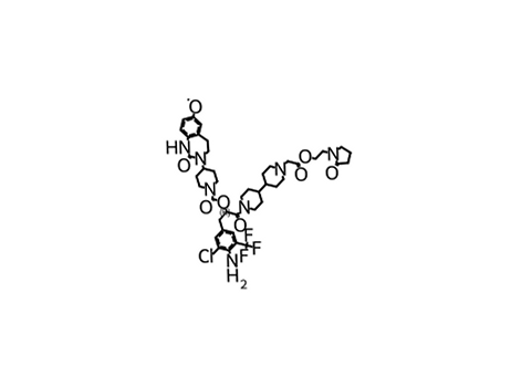 COc1ccc2c(c1)CCN(C1CCN(C(=O)O[C@H](Cc3cc(Cl)c(N)c(C(F)(F)F)c3)C(=O)N3CCC(C4CCN(CC(=O)OCCN5CCCC5=O)CC4)CC3)CC1)C(=O)N2